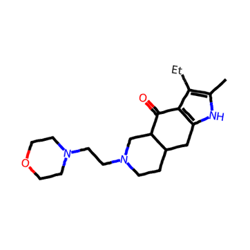 CCc1c(C)[nH]c2c1C(=O)C1CN(CCN3CCOCC3)CCC1C2